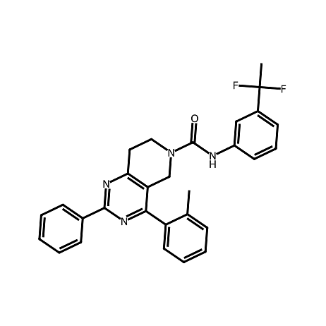 Cc1ccccc1-c1nc(-c2ccccc2)nc2c1CN(C(=O)Nc1cccc(C(C)(F)F)c1)CC2